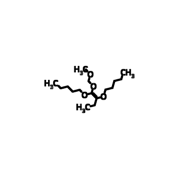 CCCCCOC(CC)=C(OCCCCC)OCOC